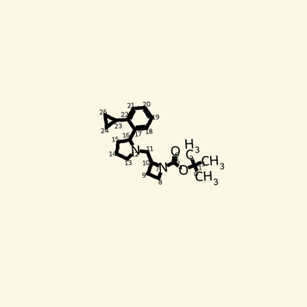 CC(C)(C)OC(=O)N1CCC1CN1CCCC1c1ccccc1C1CC1